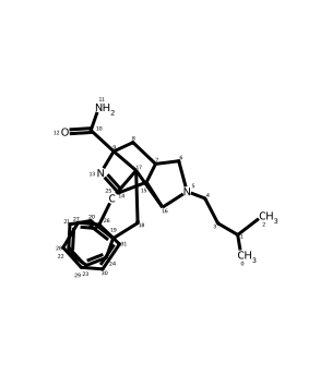 CC(C)CCN1CC2CC3(C(N)=O)N=CC2C1C3(Cc1ccccc1)Cc1ccccc1